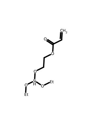 C=CC(=O)OCCO[SiH](OCC)OCC